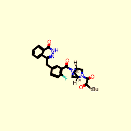 CC(C)(C)C(=O)C(=O)N1C[C@@H]2C[C@H]1CN2C(=O)c1cc(Cc2n[nH]c(=O)c3ccccc23)ccc1F